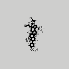 C=C(C)[C@@H]1CC[C@]2(N(CC(=O)CC)c3nc(CC)cs3)CC[C@]3(C)[C@H](CC[C@@H]4[C@@]5(C)CC=C(c6ccc(C(=O)O)cc6)C(C)(C)[C@@H]5CC[C@]43C)[C@@H]12